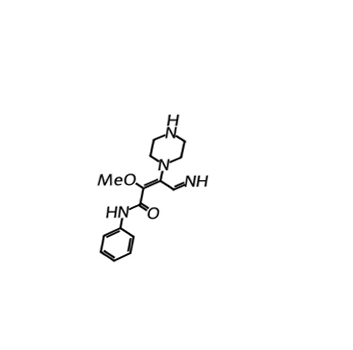 CO/C(C(=O)Nc1ccccc1)=C(/C=N)N1CCNCC1